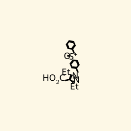 CCc1nn(Cc2ccc([S+]([O-])Cc3ccccc3)cc2)c(CC)c1CC(=O)O